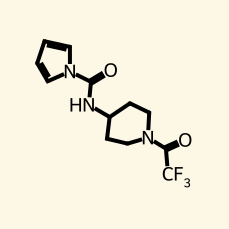 O=C(NC1CCN(C(=O)C(F)(F)F)CC1)n1cccc1